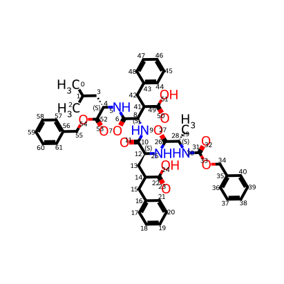 CC(C)C[C@H](NC(=O)[C@@H](NC(=O)[C@H](CC(Cc1ccccc1)C(=O)O)NC(=O)[C@H](C)NC(=O)OCc1ccccc1)C(Cc1ccccc1)C(=O)O)C(=O)OCc1ccccc1